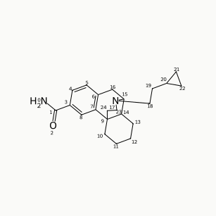 NC(=O)c1ccc2c(c1)C13CCCCC1C(C2)N(CCC1CC1)CC3